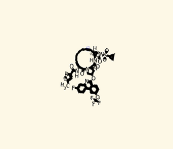 Cc1cc(C(=O)N[C@H]2CCCCC/C=C\[C@@H]3C[C@@]3(C(=O)NS(=O)(=O)C3CC3)NC(=O)[C@@H]3C[C@@H](Oc4nc5cc(F)ccc5c5cc(OC(F)(F)F)ccc45)CN3C2=O)no1